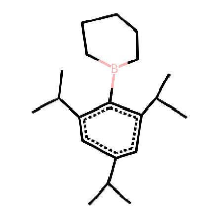 CC(C)c1cc(C(C)C)c(B2CCCCC2)c(C(C)C)c1